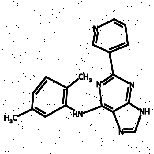 Cc1ccc(C)c(Nc2nc(-c3cccnc3)nc3[nH]cnc23)c1